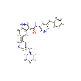 O=C(Nc1cncc(Cc2ccccc2)c1)c1c[nH]c2ccc(-c3cncc(CN4CCCCC4)c3)cc12